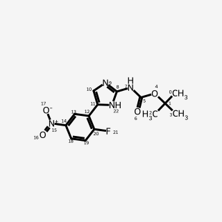 CC(C)(C)OC(=O)Nc1ncc(-c2cc([N+](=O)[O-])ccc2F)[nH]1